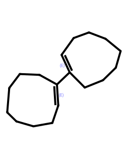 C1=C(/C2=C/CCCCCCC2)CCCCCCC/1